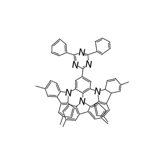 CC1=CC2c3cc(C)ccc3N(c3cc(-c4nc(-c5ccccc5)nc(-c5ccccc5)n4)cc(-n4c5ccc(C)cc5c5cc(C)ccc54)c3-n3c4ccc(C)cc4c4cc(C)ccc43)C2C=C1